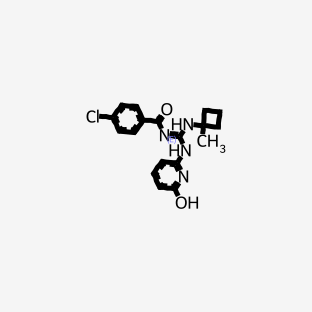 CC1(N/C(=N\C(=O)c2ccc(Cl)cc2)Nc2cccc(O)n2)CCC1